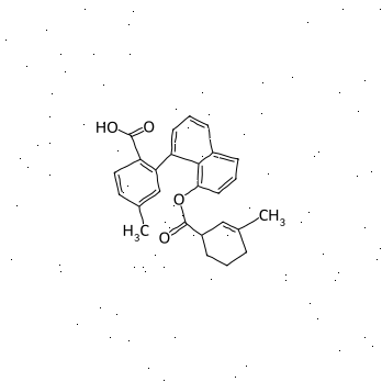 CC1=CC(C(=O)Oc2cccc3cccc(-c4cc(C)ccc4C(=O)O)c23)CCC1